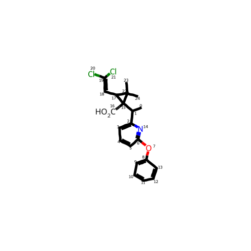 CC(c1cccc(Oc2ccccc2)n1)C1(C(=O)O)C(C=C(Cl)Cl)C1(C)C